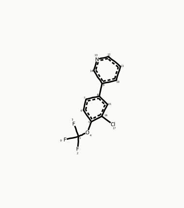 FC(F)(F)Oc1ccc(-c2cc[c]nc2)cc1Cl